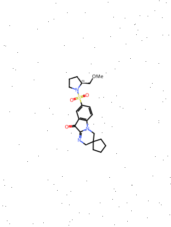 COC[C@@H]1CCCN1S(=O)(=O)c1ccc2c(c1)C(=O)C1=NCC3(CCCC3)CN12